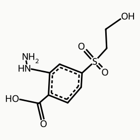 NNc1cc(S(=O)(=O)CCO)ccc1C(=O)O